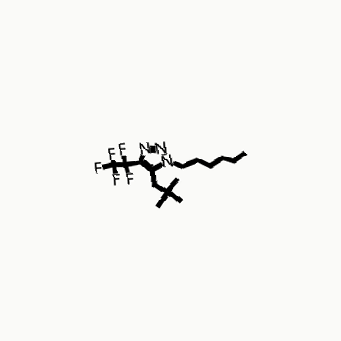 CCCCCCn1nnc(C(F)(F)C(F)(F)F)c1CC(C)(C)C